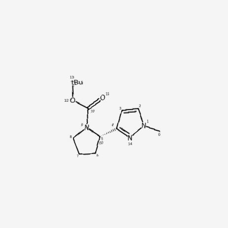 Cn1ccc([C@@H]2CCCN2C(=O)OC(C)(C)C)n1